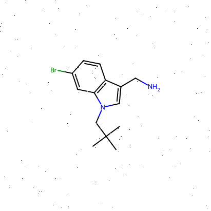 CC(C)(C)Cn1cc(CN)c2ccc(Br)cc21